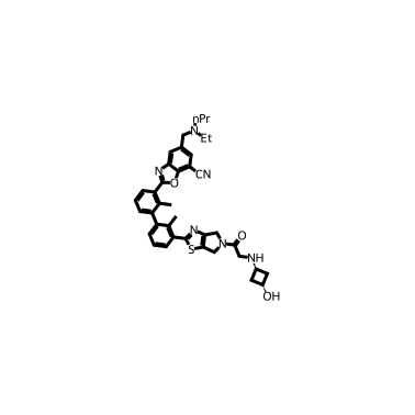 CCCN(CC)Cc1cc(C#N)c2oc(-c3cccc(-c4cccc(-c5nc6c(s5)CN(C(=O)CN[C@H]5C[C@@H](O)C5)C6)c4C)c3C)nc2c1